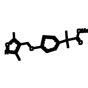 COC(=O)C(C)(C)c1ccc(OCc2c(C)noc2C)cc1